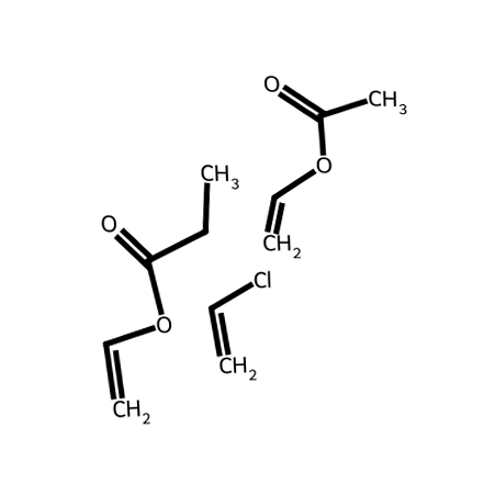 C=CCl.C=COC(=O)CC.C=COC(C)=O